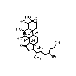 CC(C)[C@H](CCO)CC[C@@H](C)[C@H]1CC(=O)[C@@H]2[C@@H]3C(O)C(O)C4C(O)C5(O)OC5C[C@]4(C)[C@H]3CC[C@]12C